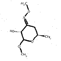 CO/N=C1\C[C@@H](C)OC(OC)[C@@H]1O